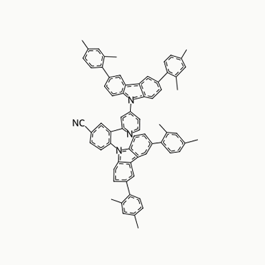 Cc1ccc(-c2ccc3c(c2)c2cc(-c4ccc(C)cc4C)ccc2n3-c2ccnc(-c3cc(C#N)ccc3-n3c4ccc(-c5ccc(C)cc5C)cc4c4cc(-c5ccc(C)cc5C)ccc43)c2)c(C)c1